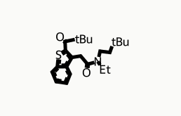 CCN(CCC(C)(C)C)C(=O)Cc1c(C(=O)C(C)(C)C)sc2ccccc12